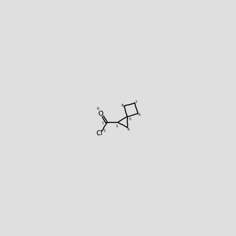 O=C(Cl)C1CC12CCC2